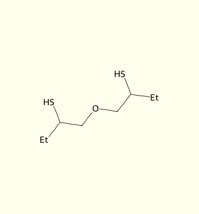 CCC(S)COCC(S)CC